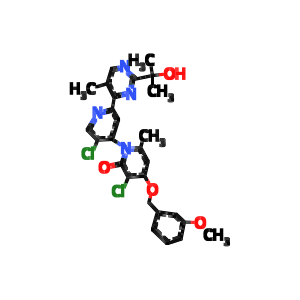 COc1cccc(COc2cc(C)n(-c3cc(-c4nc(C(C)(C)O)ncc4C)ncc3Cl)c(=O)c2Cl)c1